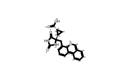 O=C1NC(=O)C(CC2=CC=CC3=c4ccccc4=COC23)([C@@H]2C[C@H]2C(=O)O)N1